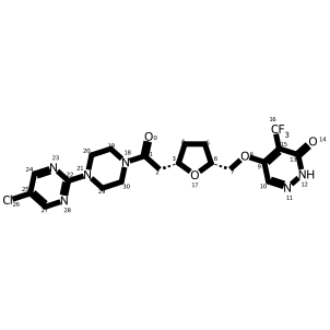 O=C(C[C@@H]1CC[C@H](COc2cn[nH]c(=O)c2C(F)(F)F)O1)N1CCN(c2ncc(Cl)cn2)CC1